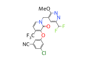 COc1nnc(C(F)F)cc1Cn1ccc(C(F)(F)F)c(Oc2cc(Cl)cc(C#N)c2)c1=O